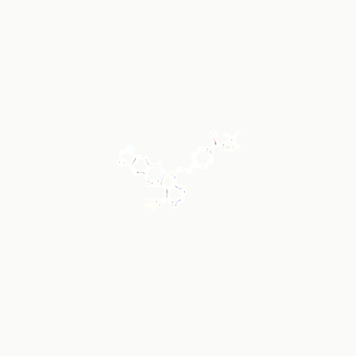 CC(C)(C)NC(=O)N1CCC(CCn2c(Sc3cc4c(cc3Br)OCO4)nc3c(N)ncnc32)CC1